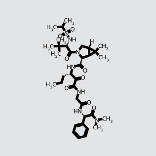 CCC[C@H](NC(=O)[C@@H]1C2[C@H](CN1C(=O)[C@@H](NS(=O)(=O)C(C)C)C(C)(C)C)C2(C)C)C(=O)C(=O)NCC(=O)N[C@H](C(=O)N(C)C)c1ccccc1